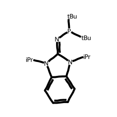 CC(C)n1c(=NP(C(C)(C)C)C(C)(C)C)n(C(C)C)c2ccccc21